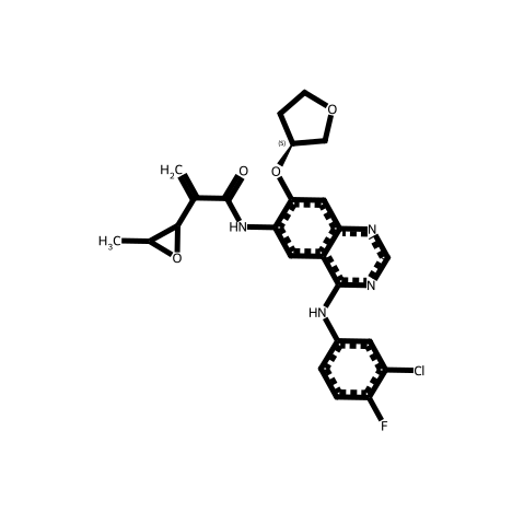 C=C(C(=O)Nc1cc2c(Nc3ccc(F)c(Cl)c3)ncnc2cc1O[C@H]1CCOC1)C1OC1C